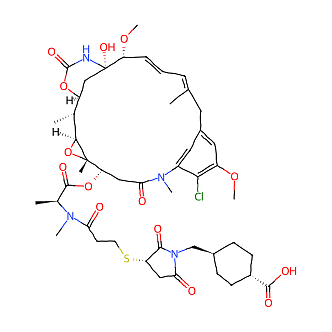 COc1cc2cc(c1Cl)N(C)C(=O)C[C@H](OC(=O)[C@H](C)N(C)C(=O)CCS[C@H]1CC(=O)N(C[C@H]3CC[C@H](C(=O)O)CC3)C1=O)[C@]1(C)O[C@H]1[C@H](C)[C@@H]1C[C@@](O)(NC(=O)O1)[C@H](OC)/C=C/C=C(\C)C2